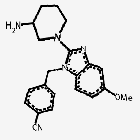 COc1ccc2c(c1)nc(N1CCCC(N)C1)n2Cc1ccc(C#N)cc1